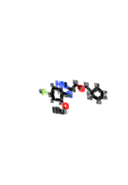 CC(C)(C)Oc1cc(F)cc2[nH]c(COCc3ccccc3)nc12